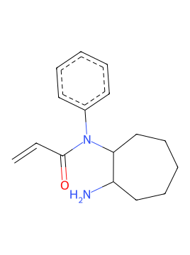 C=CC(=O)N(c1ccccc1)C1CCCCCC1N